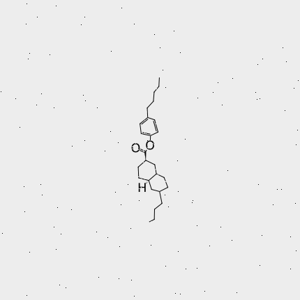 CCCCCc1ccc(OC(=O)[C@@H]2CC[C@@H]3CC(CCCC)CCC3C2)cc1